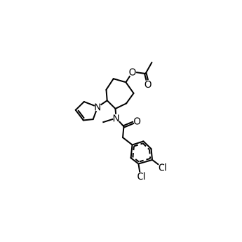 CC(=O)OC1CCC(N2CC=CC2)C(N(C)C(=O)Cc2ccc(Cl)c(Cl)c2)CC1